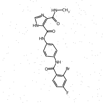 CNC(=O)c1nc[nH]c1C(=O)Nc1ccc(NC(=O)c2ccc(F)cc2Br)cc1